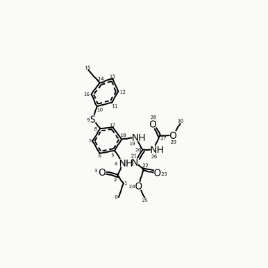 CCC(=O)Nc1ccc(Sc2cccc(C)c2)cc1NC(=NC(=O)OC)NC(=O)OC